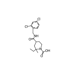 CCC1(C)CC(C(=O)NCc2ccc(Cl)cc2Cl)CCN1C(=O)O